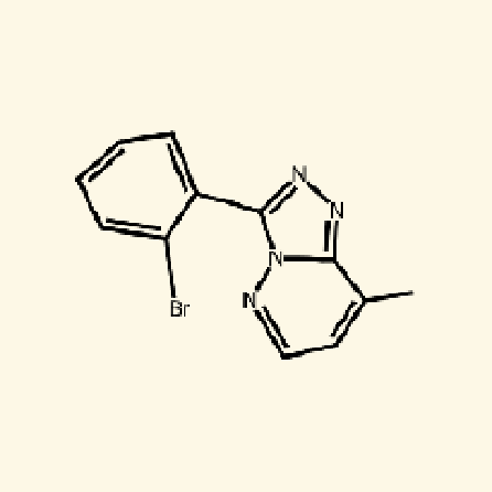 Cc1ccnn2c(-c3ccccc3Br)nnc12